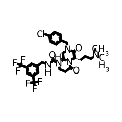 CN(C)CCC[C@H]1C(=O)N(Cc2ccc(Cl)cc2)C[C@@H]2N(C(=O)NCc3cc(C(F)(F)F)cc(C(F)(F)F)c3)CCC(=O)N21